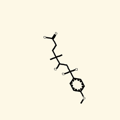 COc1ccc(C(Cl)(Cl)CC(Cl)C(C)(C)CCC(=O)Cl)cc1